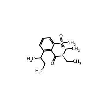 CCC(C)c1cccc(S(N)(=O)=O)c1C(=O)N(CC)CC